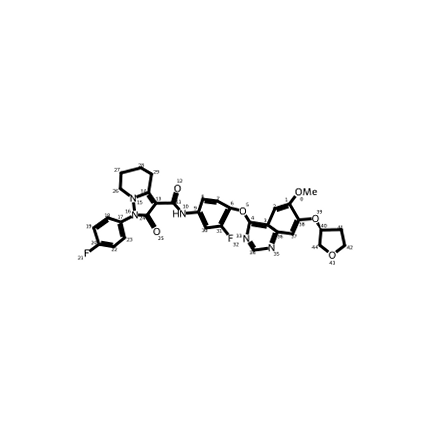 COc1cc2c(Oc3ccc(NC(=O)c4c5n(n(-c6ccc(F)cc6)c4=O)CCCC5)cc3F)ncnc2cc1O[C@H]1CCOC1